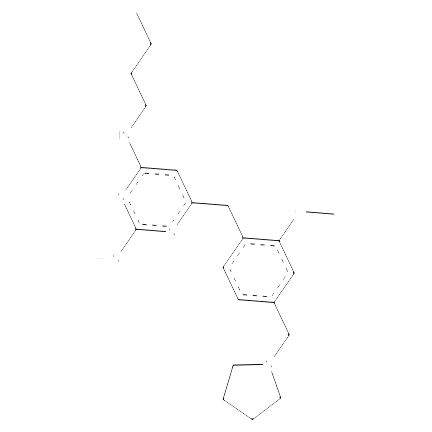 CCCCNc1cc(Cc2ccc(CN3CCCC3)cc2OC)nc(N)n1